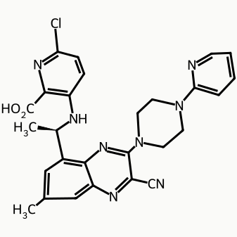 Cc1cc([C@@H](C)Nc2ccc(Cl)nc2C(=O)O)c2nc(N3CCN(c4ccccn4)CC3)c(C#N)nc2c1